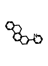 C1=C(c2ccccn2)Cc2c(ccc3c2CCc2ccccc2-3)C1